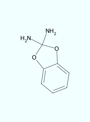 NC1(N)Oc2ccccc2O1